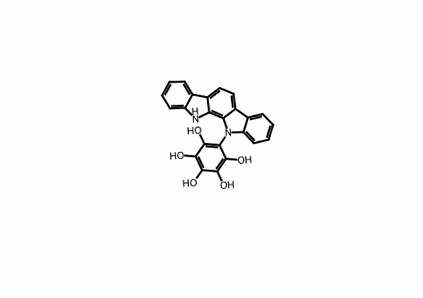 Oc1c(O)c(O)c(-n2c3ccccc3c3ccc4c5ccccc5[nH]c4c32)c(O)c1O